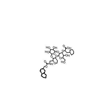 O=C(NCC1OCCC(OC2OC(CO)C(O)C(OC(CC3CCCCC3)C(=O)O)C2O)C1OC1OCC(O)C(O)C1O)OCc1ccc2ccccc2c1